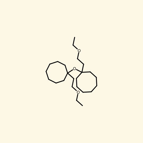 CCOCCC1(OC2(CCOCC)CCCCCCC2)CCCCCCC1